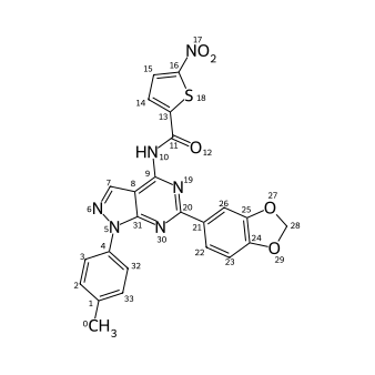 Cc1ccc(-n2ncc3c(NC(=O)c4ccc([N+](=O)[O-])s4)nc(-c4ccc5c(c4)OCO5)nc32)cc1